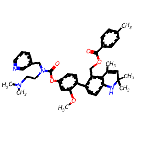 COc1cc(OC(=O)N(CCN(C)C)Cc2cccnc2)ccc1-c1ccc2c(c1COC(=O)c1ccc(C)cc1)C(C)=CC(C)(C)N2